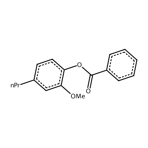 CCCc1ccc(OC(=O)c2ccccc2)c(OC)c1